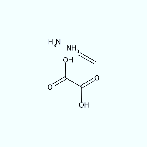 C=C.N.N.O=C(O)C(=O)O